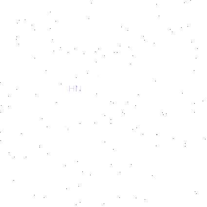 O=C1NSC2CCCC12